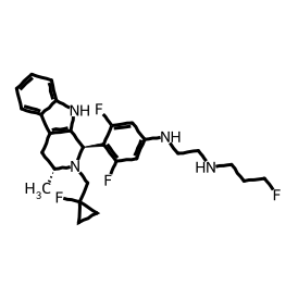 C[C@@H]1Cc2c([nH]c3ccccc23)[C@@H](c2c(F)cc(NCCNCCCF)cc2F)N1CC1(F)CC1